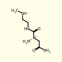 CNCCNC(=O)[C@@H](N)CC(N)=O